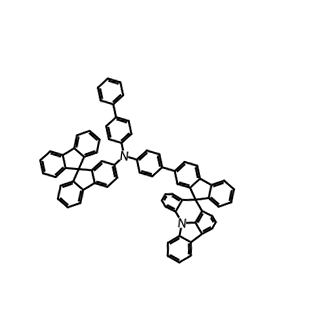 c1ccc(-c2ccc(N(c3ccc(-c4ccc5c(c4)C4(c6ccccc6-5)c5ccccc5-n5c6ccccc6c6cccc4c65)cc3)c3ccc4c(c3)C3(c5ccccc5-c5ccccc53)c3ccccc3-4)cc2)cc1